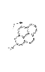 CCS.Nc1cc2ccc3cccc4ccc(c1)c2c34